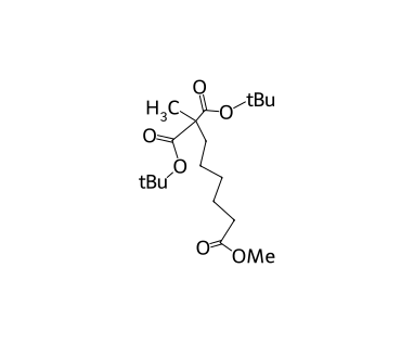 COC(=O)CCCCCC(C)(C(=O)OC(C)(C)C)C(=O)OC(C)(C)C